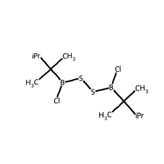 CC(C)C(C)(C)B(Cl)SSB(Cl)C(C)(C)C(C)C